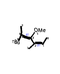 C/C=C(C)\C(OC)=C(\C)CCCC